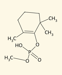 COP(=O)(O)OC1=C(C)CCCC1(C)C